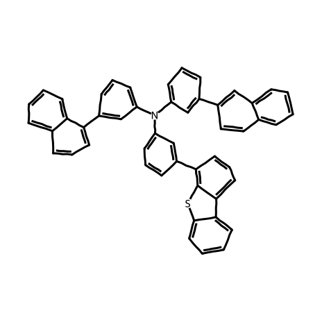 c1cc(-c2ccc3ccccc3c2)cc(N(c2cccc(-c3cccc4ccccc34)c2)c2cccc(-c3cccc4c3sc3ccccc34)c2)c1